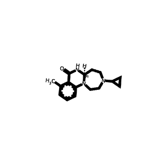 Cc1cccc2c1C(=O)N[C@H]1CCN(C3CC3)CCN21